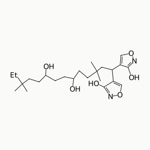 CCC(C)(C)CCC(O)CCC(O)CCC(C)(C)CC(c1conc1O)c1conc1O